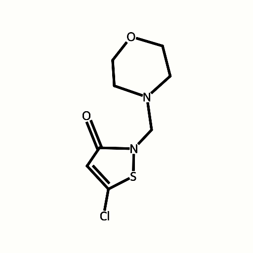 O=c1cc(Cl)sn1CN1CCOCC1